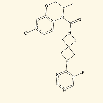 CC1COc2cc(Cl)ccc2N1C(=O)N1CC2(C1)CN(c1ncncc1F)C2